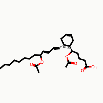 CCCCCCCCC(C=CC=C[C@@H]1CC=CC[C@H]1C(CCCC(=O)O)OC(C)=O)OC(C)=O